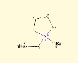 CCCCCCC[N+]1(CCCC)CCCC1